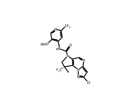 COc1cnc(C(F)(F)F)cc1NC(=O)N1C[C@@](C)(C(F)(F)F)c2c1cnc1cc(Cl)nn21